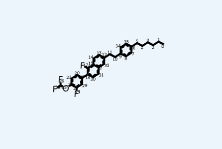 CCCCCCc1ccc(CCc2ccc3c(F)c(-c4ccc(OC(F)F)c(F)c4)ccc3c2)cc1